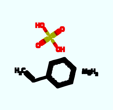 C=Cc1ccccc1.O=S(=O)(O)O.[MgH2]